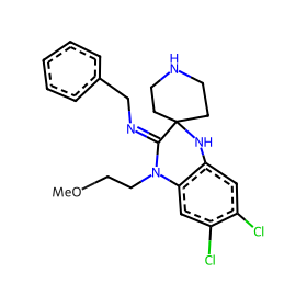 COCCN1/C(=N/Cc2ccccc2)C2(CCNCC2)Nc2cc(Cl)c(Cl)cc21